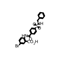 O=C(Nc1ccc(Br)cc1C(=O)O)c1ccc(S(=O)(=O)NCc2ccccc2)cc1